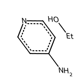 CCO.Nc1ccncc1